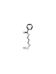 O=C(O)OCCCOC(=O)c1ccccc1